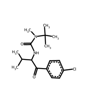 CC(C)C(NC(=O)N(C)C(C)(C)C)C(=O)c1ccc(Cl)cc1